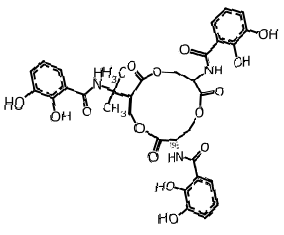 CC(C)(NC(=O)c1cccc(O)c1O)C1COC(=O)[C@@H](NC(=O)c2cccc(O)c2O)COC(=O)C(NC(=O)c2cccc(O)c2O)COC1=O